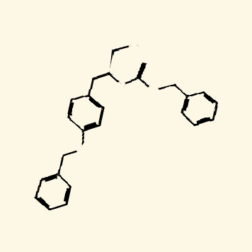 O=C(N[C@H](CO)Cc1ccc(OCc2ccccc2)cc1)OCc1ccccc1